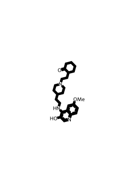 COc1ccc2ncc(O)c(NCCC3CCN(CCC4CCCCC4=O)CC3)c2c1